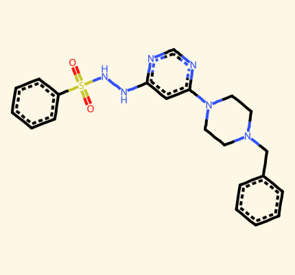 O=S(=O)(NNc1cc(N2CCN(Cc3ccccc3)CC2)ncn1)c1ccccc1